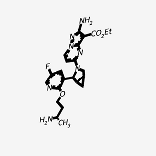 CCOC(=O)c1c(N)nn2ccc(N3CC4CC4C3c3cc(F)cnc3OCC[C@@H](C)N)nc12